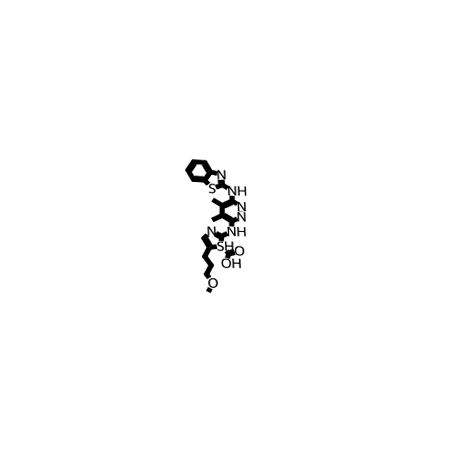 COCCCC1=CN=C(Nc2nnc(Nc3nc4ccccc4s3)c(C)c2C)[SH]1C(=O)O